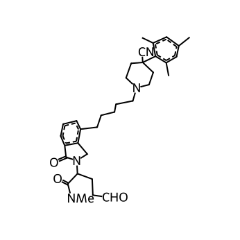 CNC(=O)C(CCC=O)N1Cc2c(CCCCCN3CCC(C#N)(c4c(C)cc(C)cc4C)CC3)cccc2C1=O